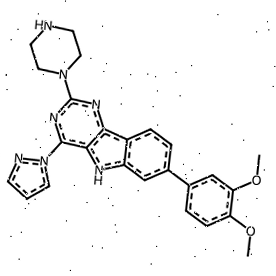 COc1ccc(-c2ccc3c(c2)[nH]c2c(-n4cccn4)nc(N4CCNCC4)nc23)cc1OC